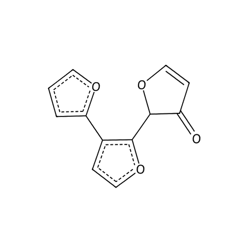 O=C1C=COC1c1occc1-c1ccco1